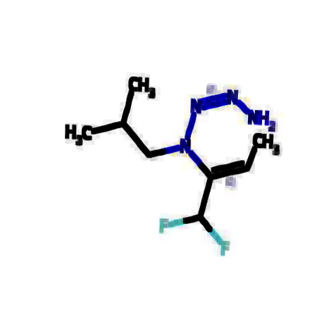 C/C=C(/C(F)F)N(CC(C)C)/N=N\N